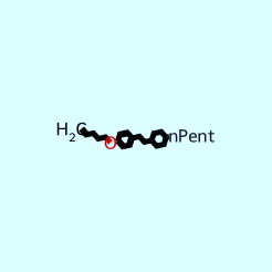 C=CCCCOc1ccc(CCC2CCC(CCCCC)CC2)cc1